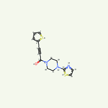 O=C(C#Cc1cccs1)N1CCN(c2nccs2)CC1